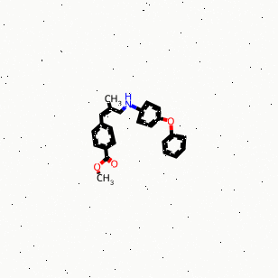 COC(=O)c1ccc(C=C(C)CNc2ccc(Oc3ccccc3)cc2)cc1